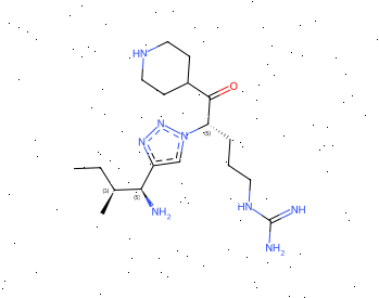 CC[C@H](C)[C@H](N)c1cn([C@@H](CCCNC(=N)N)C(=O)C2CCNCC2)nn1